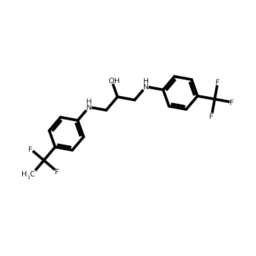 CC(F)(F)c1ccc(NCC(O)CNc2ccc(C(F)(F)F)cc2)cc1